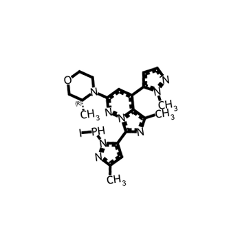 Cc1cc(-c2nc(C)c3c(-c4ccnn4C)cc(N4CCOC[C@H]4C)nn23)n(PI)n1